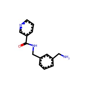 NCc1cccc(CNC(=O)c2cccnc2)c1